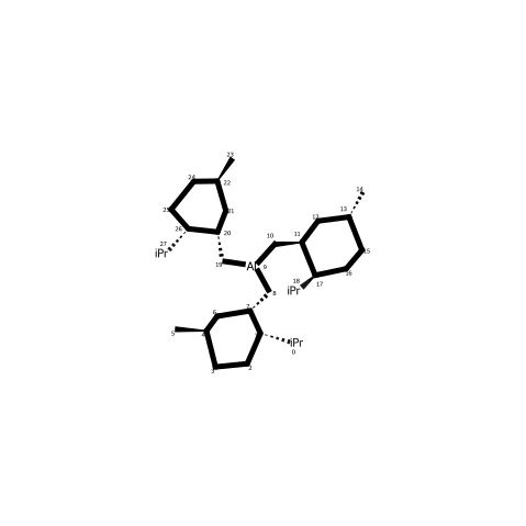 CC(C)[C@@H]1CC[C@@H](C)C[C@@H]1[CH2][Al]([CH2][C@H]1C[C@H](C)CC[C@H]1C(C)C)[CH2][C@H]1C[C@H](C)CC[C@H]1C(C)C